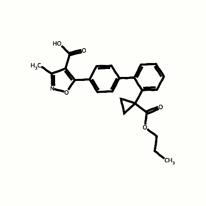 CCCOC(=O)C1(c2ccccc2-c2ccc(-c3onc(C)c3C(=O)O)cc2)CC1